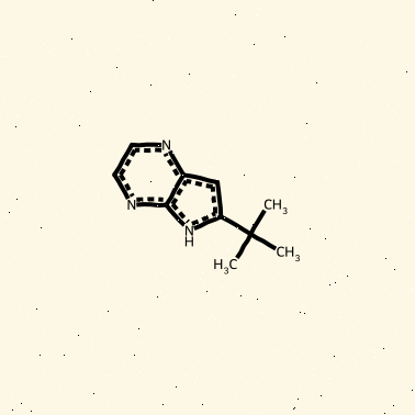 CC(C)(C)c1cc2nccnc2[nH]1